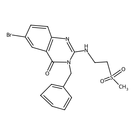 CS(=O)(=O)CCNc1nc2ccc(Br)cc2c(=O)n1Cc1ccccc1